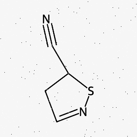 N#CC1CC=NS1